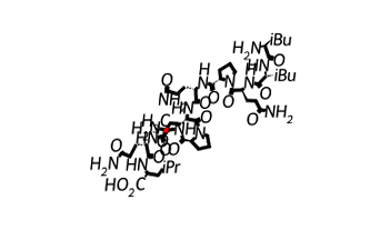 CC[C@H](C)[C@H](N)C(=O)N[C@H](C(=O)N[C@@H](CCC(N)=O)C(=O)N1CCC[C@H]1C(=O)N[C@@H](CCC(N)=O)C(=O)N[C@@H](CCC(N)=O)C(=O)N1CCC[C@H]1C(=O)N[C@@H](C)C(=O)N[C@@H](CCC(N)=O)C(=O)N[C@@H](CC(C)C)C(=O)O)[C@@H](C)CC